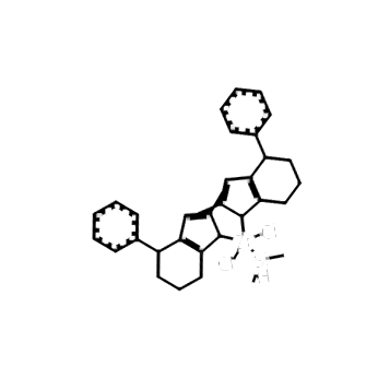 CC1=CC2=C(CCCC2c2ccccc2)[CH]1[Zr]([Cl])([Cl])([CH]1C(C)=CC2=C1CCCC2c1ccccc1)[SiH](C)C